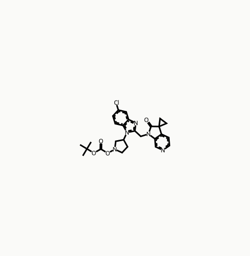 CC(C)(C)OC(=O)ON1CCC(n2c(CN3C(=O)C4(CC4)c4ccncc43)nc3cc(Cl)ccc32)C1